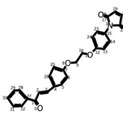 O=C(C=Cc1ccc(OCCOc2ccc(N3C(=O)C=CC3=O)cc2)cc1)c1ccccc1